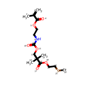 C=C(C)C(=O)OCCNC(=O)OCC(C)(C)C(=O)OCCSCC